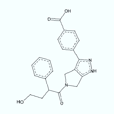 O=C(O)c1ccc(-c2n[nH]c3c2CN(C(=O)C(CCO)c2ccccc2)C3)cc1